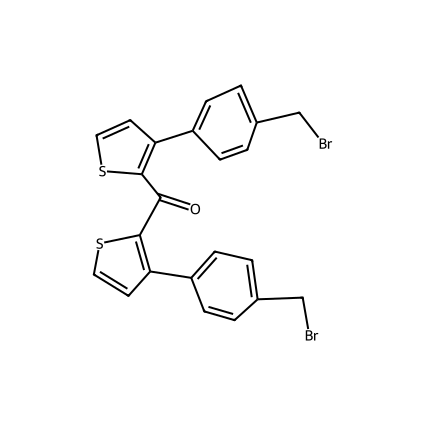 O=C(c1sccc1-c1ccc(CBr)cc1)c1sccc1-c1ccc(CBr)cc1